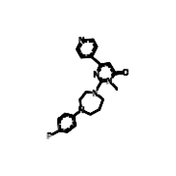 Cn1c(N2CCCN(c3ccc(F)cc3)CC2)nc(-c2ccncc2)cc1=O